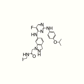 CC(C)Oc1ccc(Nc2ncc(F)c(Nc3ccc4c(c3)N(CC(=O)NCI)NC4)n2)cc1